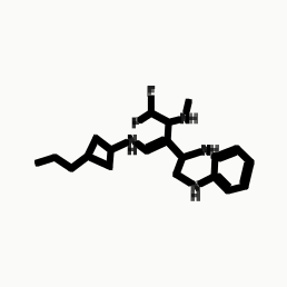 CCCC1CC(N/C=C(/C2CNc3ccccc3N2)C(NC)C(F)F)C1